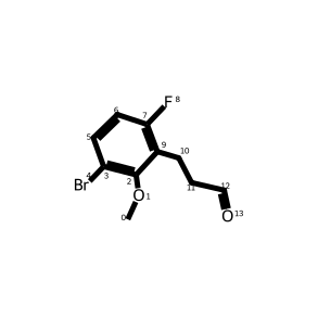 COc1c(Br)ccc(F)c1CCC=O